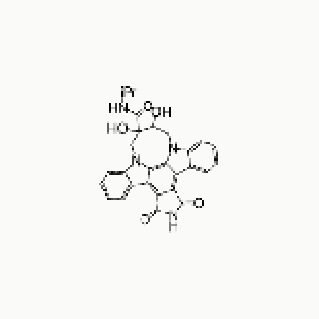 CC(C)NC(=O)C1(O)Cn2c3ccccc3c3c4c(c5c6ccccc6n(c5c32)CC1O)C(=O)NC4=O